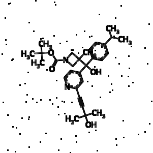 CC(C)c1ccc(C(O)(c2ccnc(C#CC(C)(C)O)c2)C2(C)CN(C(=O)OC(C)(C)C)C2)cc1